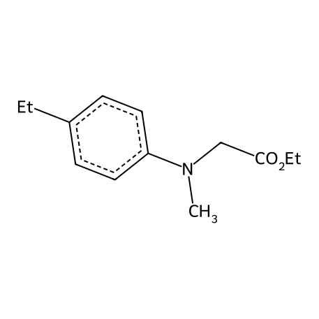 CCOC(=O)CN(C)c1ccc(CC)cc1